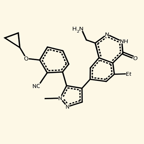 CCc1cc(-c2cnn(C)c2-c2cccc(OC3CC3)c2C#N)cc2c(CN)n[nH]c(=O)c12